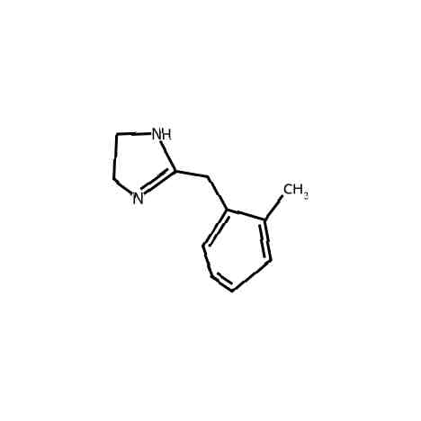 Cc1ccccc1CC1=NCCN1